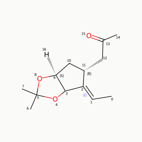 C/C=C1/C2OC(C)(C)O[C@H]2C[C@@H]1CC(C)=O